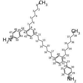 CCCCCCCCc1cc(CCCCCCCCc2ccc(Cc3ccc(N)cc3)c(CCCCCCCC)c2)ccc1Cc1ccc(N)cc1